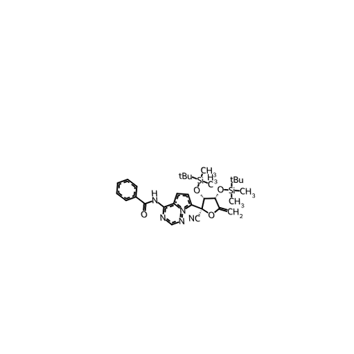 C=C1O[C@@](C#N)(c2ccc3c(NC(=O)c4ccccc4)ncnn23)[C@H](O[Si](C)(C)C(C)(C)C)[C@@H]1O[Si](C)(C)C(C)(C)C